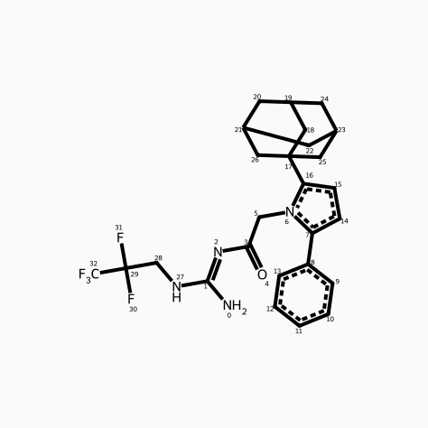 N/C(=N\C(=O)Cn1c(-c2ccccc2)ccc1C12CC3CC(CC(C3)C1)C2)NCC(F)(F)C(F)(F)F